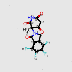 CC1(N2Cc3c(F)c(F)c(F)c(F)c3C2=O)C(=O)CC(=O)NC1=O